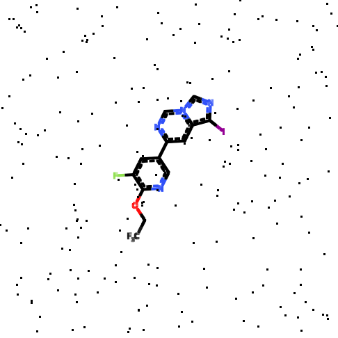 Fc1cc(-c2cc3c(I)ncn3cn2)cnc1OCC(F)(F)F